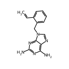 C=Cc1ccccc1Cn1cnc2c(N)nc(N)nc21